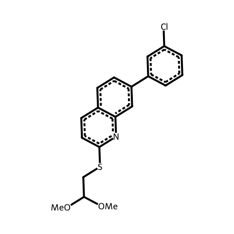 COC(CSc1ccc2ccc(-c3cccc(Cl)c3)cc2n1)OC